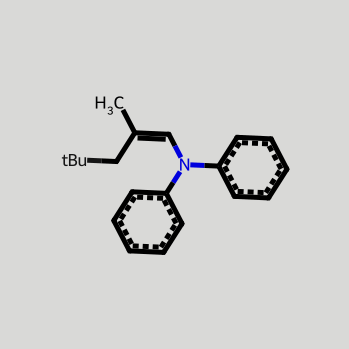 CC(=CN(c1ccccc1)c1ccccc1)CC(C)(C)C